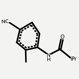 Cc1cc(C#N)ccc1NC(=O)C(C)C